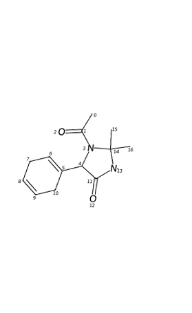 CC(=O)N1C(C2=CCC=CC2)C(=O)[N]C1(C)C